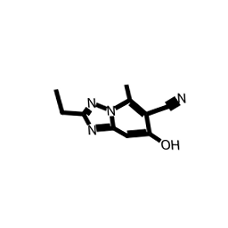 CCc1nc2cc(O)c(C#N)c(C)n2n1